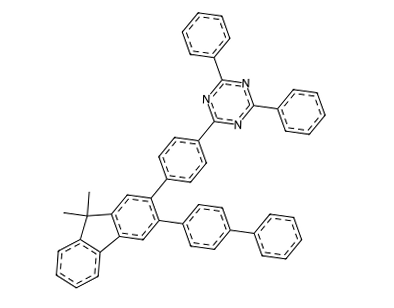 CC1(C)c2ccccc2-c2cc(-c3ccc(-c4ccccc4)cc3)c(-c3ccc(-c4nc(-c5ccccc5)nc(-c5ccccc5)n4)cc3)cc21